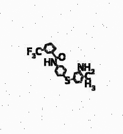 Cc1ccc(Sc2ccc(NC(=O)c3cccc(C(F)(F)F)c3)cc2)cc1N